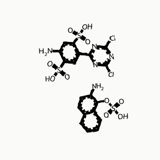 Nc1cc(S(=O)(=O)O)c(-c2nc(Cl)nc(Cl)n2)cc1S(=O)(=O)O.Nc1ccc2ccccc2c1OS(=O)(=O)O